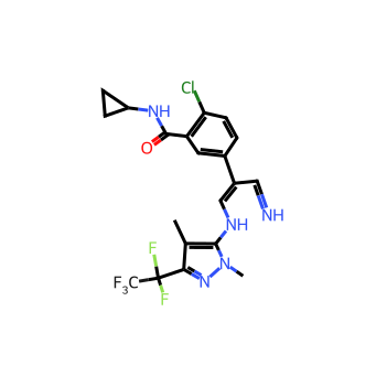 Cc1c(C(F)(F)C(F)(F)F)nn(C)c1N/C=C(\C=N)c1ccc(Cl)c(C(=O)NC2CC2)c1